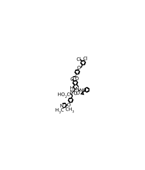 Cc1nccc(Oc2ccc(C[C@H](NC(=O)C3Cc4cc5c(cc4CN3C(=O)NC3(c4ccccc4)CC3)O[C@@H](c3ccc(OCc4ccc(Cl)c(Cl)c4)cc3)CO5)C(=O)O)cc2)c1C